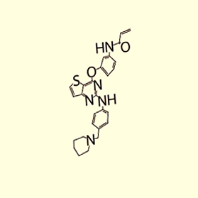 C=CC(=O)Nc1cccc(Oc2nc(Nc3ccc(CN4CCCCC4)cc3)nc3ccsc23)c1